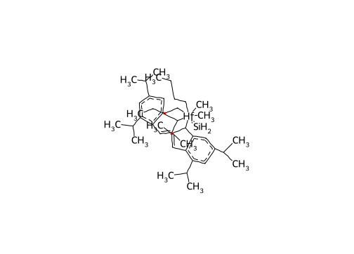 CCC[CH2][Hf]([CH3])([CH3])(=[SiH2])([CH2]CCC)([CH]1C(C)=Cc2c(C(C)C)cc(C(C)C)cc21)[CH]1C(C)=Cc2c(C(C)C)cc(C(C)C)cc21